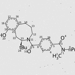 CCCN(C)C(=O)c1ccc(C(=O)N2CCCc3cccc(O)c3C[C@@H]2C(C)(C)C)cc1